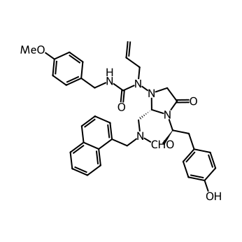 C=CCN(C(=O)NCc1ccc(OC)cc1)N1CC(=O)N([C@H](C)Cc2ccc(O)cc2)[C@@H]1CN(C=O)Cc1cccc2ccccc12